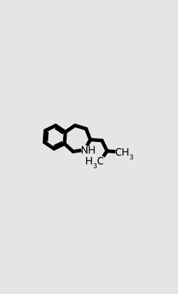 CC(C)CC1CCc2ccccc2CN1